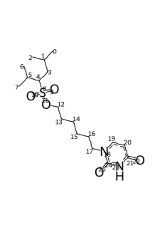 CC(C)CC(C(C)C)S(=O)(=O)OCCCCCCn1ccc(=O)[nH]c1=O